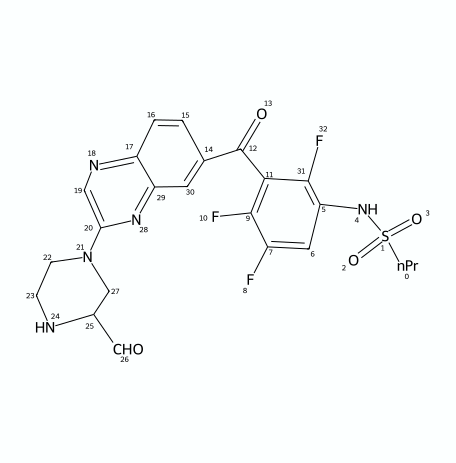 CCCS(=O)(=O)Nc1cc(F)c(F)c(C(=O)c2ccc3ncc(N4CCNC(C=O)C4)nc3c2)c1F